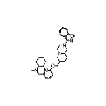 CN(Cc1cccc(OCC2CCC3CN(c4noc5ccccc45)CCN3C2)n1)C1CCCCC1